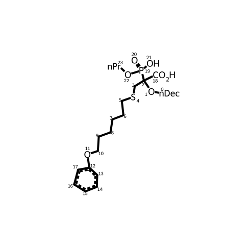 CCCCCCCCCCOC(CSCCCCCCOc1ccccc1)(C(=O)O)P(=O)(O)OCCC